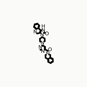 O=C(c1cc(N2CCC(n3c(=O)[nH]c4c5ccccc5ncc43)CC2)ncn1)N1CCc2ccccc2C1